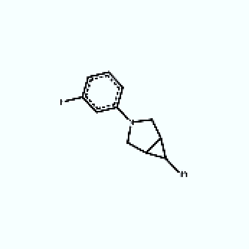 CC(C)C1C2CN(c3cccc(F)c3)CC21